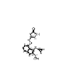 O=C1C[C@H](COc2cccc3cc(CO)n(CC4CC4)c23)CN1